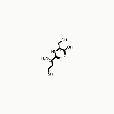 N[C@@H](CCS)C(=O)N[C@@H](CO)C(=O)O